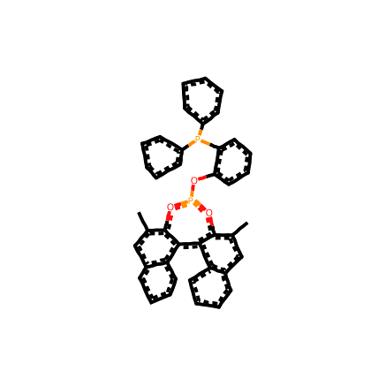 Cc1cc2ccccc2c2c1op(Oc1ccccc1P(c1ccccc1)c1ccccc1)oc1c(C)cc3ccccc3c12